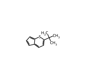 CC(C)(C)c1ccc2cccc-2s1